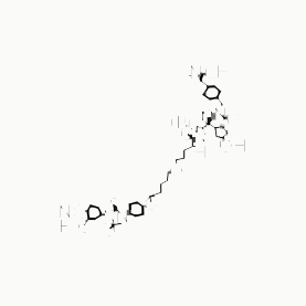 Cc1ncsc1-c1ccc(CNC(=O)[C@@H]2C[C@@H](O)CC2C(=O)[C@@H](NC(=O)CCCCOCCCCCOc2ccc(N3CC(=O)N(c4ccc(C#N)c(C(F)(F)F)c4)C3=S)cc2)C(C)(C)C)cc1